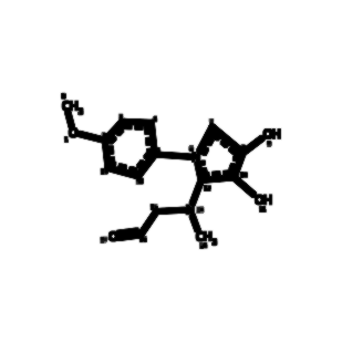 COc1ccc(-n2cc(O)c(O)c2N(C)CC=O)cc1